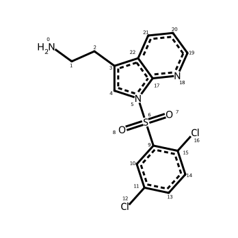 NCCc1cn(S(=O)(=O)c2cc(Cl)ccc2Cl)c2ncccc12